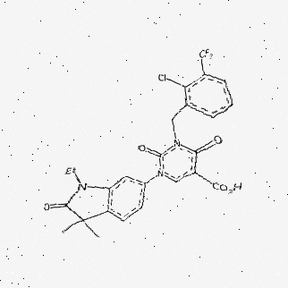 CCN1C(=O)C(C)(C)c2ccc(-n3cc(C(=O)O)c(=O)n(Cc4cccc(C(F)(F)F)c4Cl)c3=O)cc21